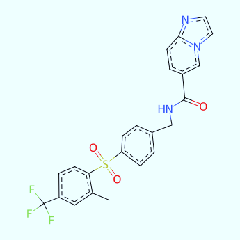 Cc1cc(C(F)(F)F)ccc1S(=O)(=O)c1ccc(CNC(=O)c2ccc3nccn3c2)cc1